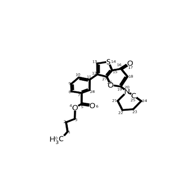 CCCCOC(=O)c1cccc(-c2csc3c(=O)cc(N4CCCCC4)oc23)c1